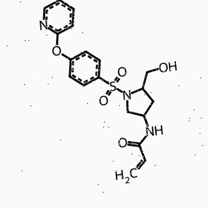 C=CC(=O)NC1CC(CO)N(S(=O)(=O)c2ccc(Oc3ccccn3)cc2)C1